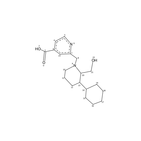 O=C(O)c1ccnc(CN2CCCC(C3CCCCC3)C2CO)c1